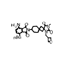 CCCCc1ccc(N)c2c1C(=O)N(C1CCC3(CC1)CC1(C3)C(=O)N(C)C(=O)N1CC1COC1)C2=O